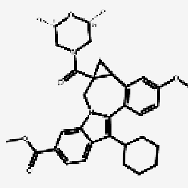 COC(=O)c1ccc2c(C3CCCCC3)c3n(c2c1)CC1(C(=O)N2C[C@@H](C)O[C@@H](C)C2)CC1c1cc(OC)ccc1-3